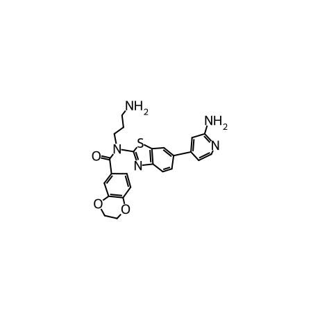 NCCCN(C(=O)c1ccc2c(c1)OCCO2)c1nc2ccc(-c3ccnc(N)c3)cc2s1